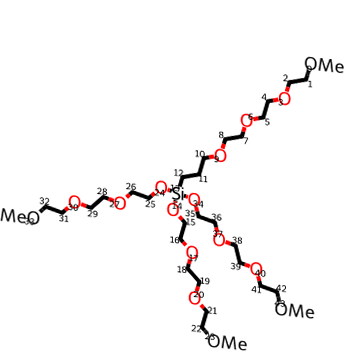 COCCOCCOCCOCCC[Si](OCCOCCOCCOC)(OCCOCCOCCOC)OCCOCCOCCOC